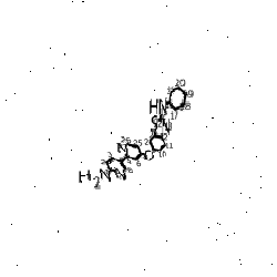 Nc1ccc(-c2cc(Oc3ccc4nc(NC5CCCCC5)sc4c3)ccn2)cn1